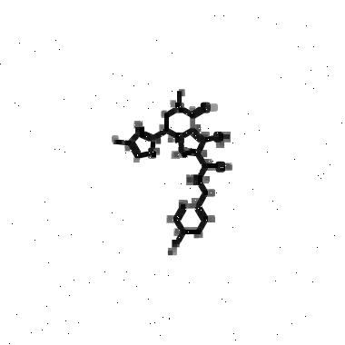 Cc1csc(C2CN(C)C(=O)c3c(O)c(C(=O)NCc4ccc(F)cc4)nn32)n1